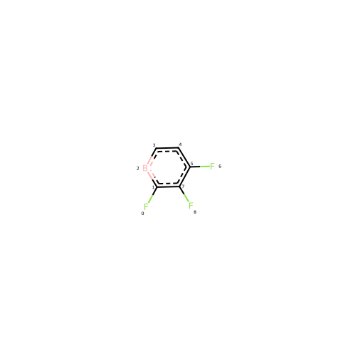 Fc1bccc(F)c1F